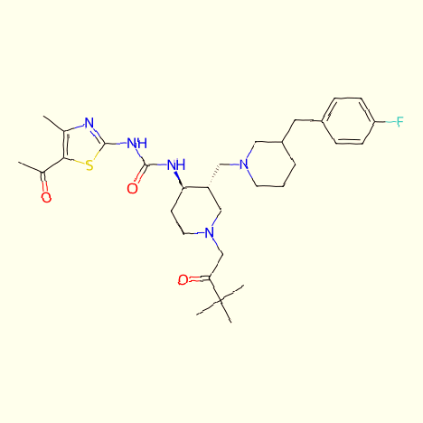 CC(=O)c1sc(NC(=O)N[C@@H]2CCN(CC(=O)C(C)(C)C)C[C@H]2CN2CCCC(Cc3ccc(F)cc3)C2)nc1C